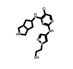 OCCn1cc(Nc2ncc(Cl)c(NC3CC4CNCC4C3)n2)cn1